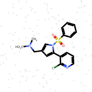 CN(Cc1cc(-c2cccnc2Cl)n(S(=O)(=O)c2ccccc2)c1)C(=O)O